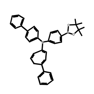 CC1(C)OB(c2ccc(N(C3=CC=C(c4ccccc4)CC=C3)c3ccc(-c4ccccc4)cc3)cc2)OC1(C)C